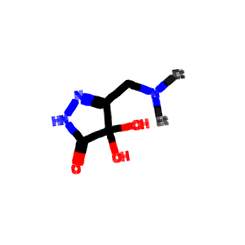 CCN(CC)CC1=NNC(=O)C1(O)O